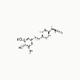 [N-]=[N+]=Nc1ccc(/C=C/c2cc(O)c(O)c(O)c2)cc1